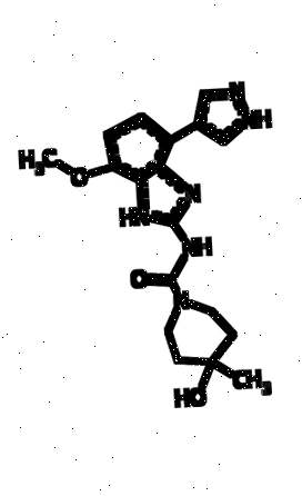 COc1ccc(-c2cn[nH]c2)c2nc(NC(=O)N3CCC(C)(O)CC3)[nH]c12